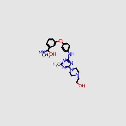 CNC(O)c1cccc(Oc2ccc(Nc3nc(C)nc(N4CCN(CCO)CC4)n3)cc2)c1